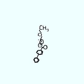 CCCOC[CH]OOC(=O)c1ccc(-c2ccccc2)cc1